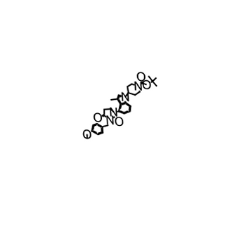 COc1ccc(CN2C(=O)CCN(c3cccc4c3c(C)cn4C3CCN(C(=O)OC(C)(C)C)CC3)C2=O)cc1